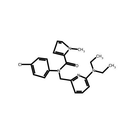 CCN(CC)c1cccc(CN(C(=O)c2cccn2C)c2ccc(Cl)cc2)n1